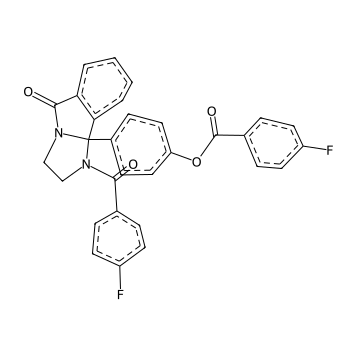 O=C(Oc1ccc(C23c4ccccc4C(=O)N2CCN3C(=O)c2ccc(F)cc2)cc1)c1ccc(F)cc1